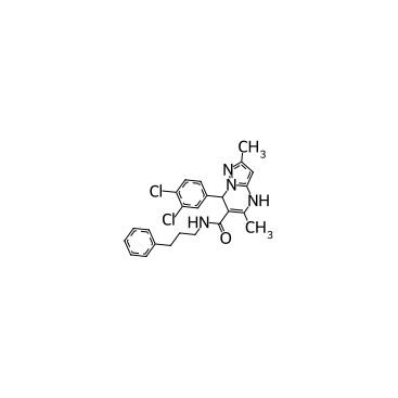 CC1=C(C(=O)NCCCc2ccccc2)C(c2ccc(Cl)c(Cl)c2)n2nc(C)cc2N1